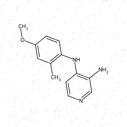 COc1ccc(Nc2ccncc2N)c(C)c1